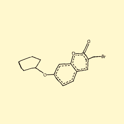 O=c1oc2cc(OC3CCCC3)ccc2cc1Br